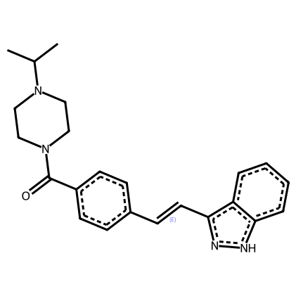 CC(C)N1CCN(C(=O)c2ccc(/C=C/c3n[nH]c4ccccc34)cc2)CC1